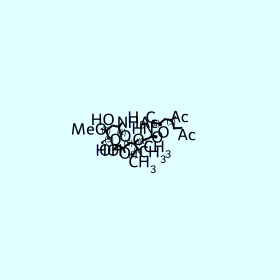 CO[C@H]1C(O)C(NC(C)=O)[C@H](O[C@@H]2C(CO)O[C@@H](C)[C@@H](C)C2O[C@H](C)C(=O)N[C@@H](C)C(=O)C[C@H](CCC(C)=O)C(C)=O)O[C@H]1CO